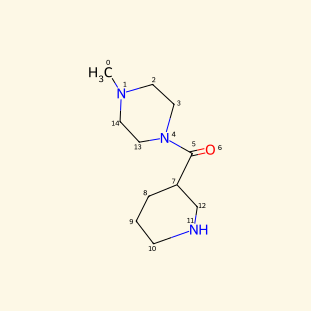 CN1CCN(C(=O)C2CCCNC2)CC1